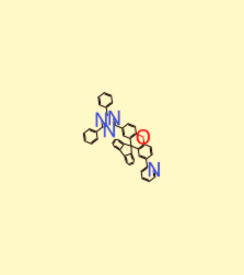 c1ccc(-c2nc(-c3ccccc3)nc(-c3ccc4c(c3)C3(c5cc(-c6ccccn6)ccc5O4)c4ccccc4-c4ccccc43)n2)cc1